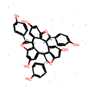 Oc1ccc([C@H]2Oc3cc(O)cc4c3[C@@H]2c2cc(O)cc3c2[C@@H](c2cc(O)cc5c2[C@@H]4[C@H](c2ccc(O)cc2)O5)[C@H](c2ccc(O)cc2)O3)cc1